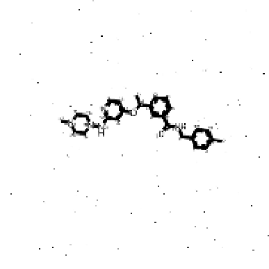 Cc1ccc(CNC(=O)c2cccc(C(C)Oc3ccnc(NN4CCN(C)CC4)c3)c2)cc1